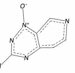 [O-][n+]1nc(Cl)nc2ccncc21